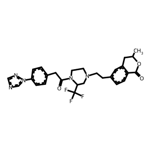 CC1Cc2cc(CCN3CCN(C(=O)Cc4ccc(-n5cncn5)cc4)C(C(F)(F)F)C3)ccc2C(=O)O1